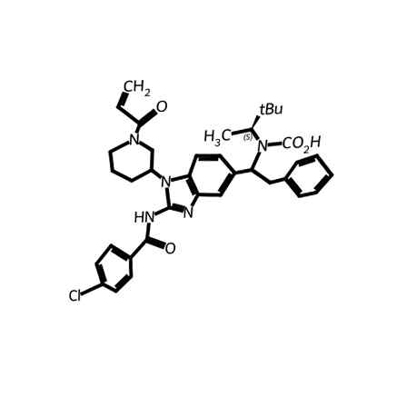 C=CC(=O)N1CCCC(n2c(NC(=O)c3ccc(Cl)cc3)nc3cc(C(Cc4ccccc4)N(C(=O)O)[C@@H](C)C(C)(C)C)ccc32)C1